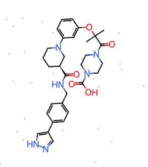 CC(C)(Oc1cccc(N2CCC[C@H](C(=O)NCc3ccc(-c4cn[nH]c4)cc3)C2)c1)C(=O)N1CCN(C(=O)O)CC1